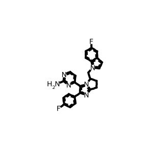 Nc1nccc(-c2c(-c3ccc(F)cc3)nc3n2C(Cn2ccc4cc(F)ccc42)CC3)n1